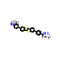 CCCCCCCCNc1ccc(-c2ccc3c(c2)SC2c4ccc(-c5ccc(C(N)CCCCCCC)cc5)cc4SC32)cc1